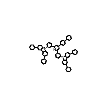 c1ccc(-c2ccc(-c3cc(-c4cccc(-n5c6ccc(-c7ccccc7)cc6c6cc(-c7ccccc7)ccc65)c4)nc(-c4cccc(-n5c6ccc(-c7ccccc7)cc6c6cc(-c7ccccc7)ccc65)c4)c3)cc2)cc1